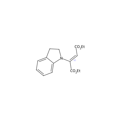 CCOC(=O)/C=C(/C(=O)OCC)N1CCc2ccccc21